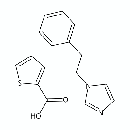 O=C(O)c1cccs1.c1ccc(CCn2ccnc2)cc1